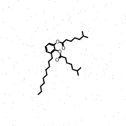 CCCCCCCCCCc1cccc(OC(=O)CCCCC(C)C)c1OC(=O)CCCCC(C)C